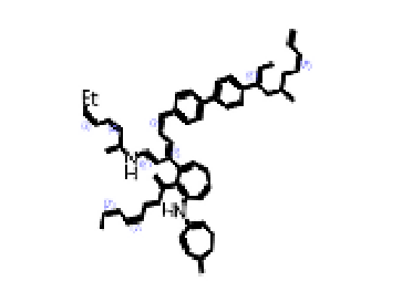 C=C/C=C\CC(C)C/C(=C\C)c1ccc(-c2ccc(\C=C/C=C(\C=C\NC(C)/C=C\C=C/CC)C3=CCC=CC(NC4=CCCC(C)C=C4)=C3C(=C)CC/C=C\C=C/C)cc2)cc1